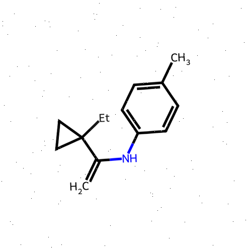 C=C(Nc1ccc(C)cc1)C1(CC)CC1